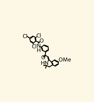 COc1ccc2c(c1)/C(=C/C(=O)c1cccc(NC(=O)c3c(Cl)cc(Cl)cc3Cl)c1)NC(C)(C)C2